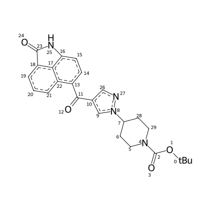 CC(C)(C)OC(=O)N1CCC(n2cc(C(=O)c3ccc4c5c(cccc35)C(=O)N4)cn2)CC1